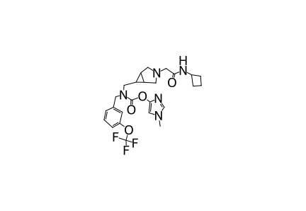 Cn1cnc(OC(=O)N(Cc2cccc(OC(F)(F)F)c2)CC2C3CN(CC(=O)NC4CCC4)CC32)c1